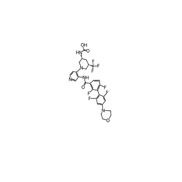 O=C(O)N[C@H]1C[C@@H](C(F)(F)F)CN(c2ccncc2NC(=O)c2ccc(F)c(-c3c(F)cc(N4CCOCC4)cc3F)c2F)C1